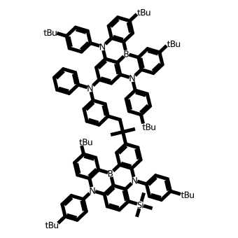 CC(C)(C)c1ccc(N2c3ccc(C(C)(C)C)cc3B3c4cc(C(C)(C)C)ccc4N(c4ccc(C(C)(C)C)cc4)c4cc(N(c5ccccc5)c5cccc(CC(C)(C)c6ccc7c(c6)B6c8cc(C(C)(C)C)ccc8N(c8ccc(C(C)(C)C)cc8)c8ccc([Si](C)(C)C)c(c86)N7c6ccc(C(C)(C)C)cc6)c5)cc2c43)cc1